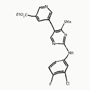 CCOC(=O)c1cncc(-c2cnc(Nc3ccc(F)c(Cl)c3)nc2SC)c1